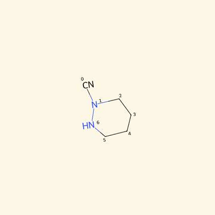 N#CN1CCCCN1